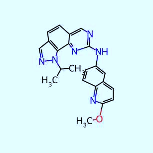 COc1ccc2cc(Nc3ncc4ccc5cnn(C(C)C)c5c4n3)ccc2n1